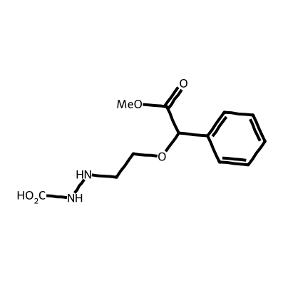 COC(=O)C(OCCNNC(=O)O)c1ccccc1